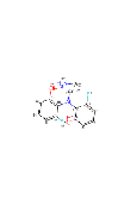 CC(=O)N(c1c(O)cccc1F)c1c(O)cccc1F.CC(N)=O